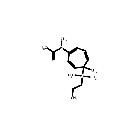 CCC[Si](C)(C)C1(C)C=CC=C(N(C)C(C)=O)C=C1